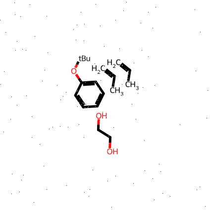 C=CC.C=CC.CC(C)(C)Oc1ccccc1.OCCO